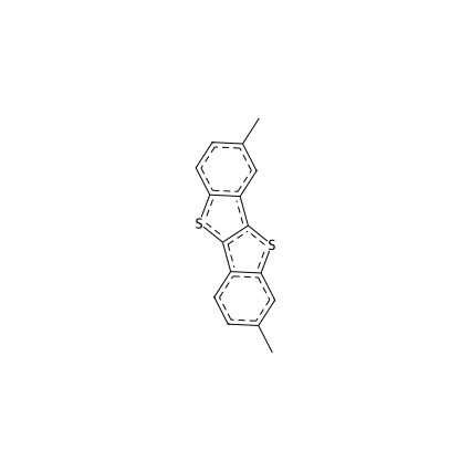 Cc1ccc2c(c1)sc1c3cc(C)ccc3sc21